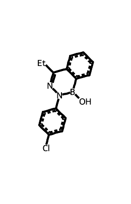 CCC1=NN(c2ccc(Cl)cc2)B(O)c2ccccc21